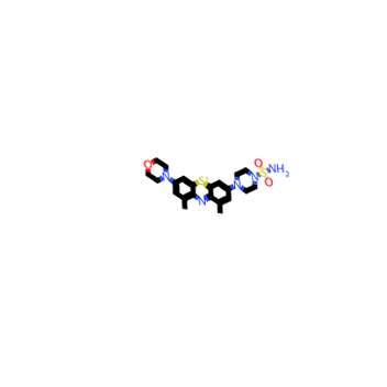 Cc1cc(N2CCOCC2)cc2[s+]c3cc(N4CCN(S(N)(=O)=O)CC4)cc(C)c3nc12